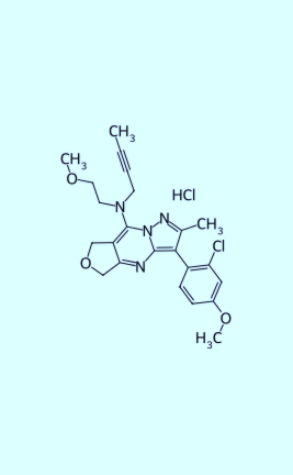 CC#CCN(CCOC)c1c2c(nc3c(-c4ccc(OC)cc4Cl)c(C)nn13)COC2.Cl